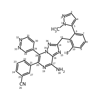 Cn1nccc1-c1cccc(F)c1Cc1nc2c(N)nc(-c3cccc(C#N)c3)c(-c3ccnnc3)n2n1